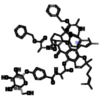 CC(C)=CCCC1(C)C=Cc2c(c(CC=C(C)C)c3c(c2OC(=O)C(C)NC(=O)c2ccc(O[C@@H]4O[C@H](CO)[C@@H](O)[C@@H](O)[C@H]4O)cc2)C(=O)C2C(NC(C)C(=O)OCc4ccccc4)C4CC5C(C)(C)OC(C/C=C(/C)C(=O)NC(C)C(=O)OCc6ccccc6)(C4=O)C25O3)O1